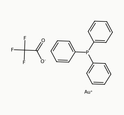 O=C([O-])C(F)(F)F.[Au+].c1ccc(P(c2ccccc2)c2ccccc2)cc1